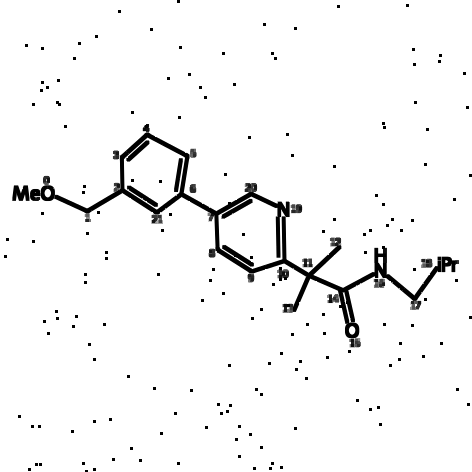 COCc1cccc(-c2ccc(C(C)(C)C(=O)NCC(C)C)nc2)c1